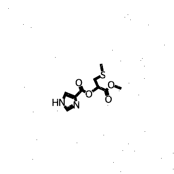 COC(=O)C(CSC)OC(=O)c1c[nH]cn1